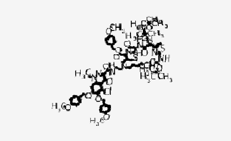 C=CCCCN(CCNC(=O)c1nn(CC)c2cc(OCc3ccc(OC)cc3)c(OCc3ccc(OC)cc3)c(Cl)c2c1=O)CC1=C(C(=O)OCc2ccc(OC)cc2)N2C(=O)[C@@H](NC(=O)/C(=N\OC(C)(C)C(=O)OC(C)(C)C)c3csc(NC(=O)OC(C)(C)C)n3)[C@H]2SC1